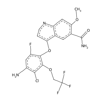 COc1cc2nccc(Oc3c(F)cc(N)c(Cl)c3OCC(F)(F)F)c2cc1C(N)=O